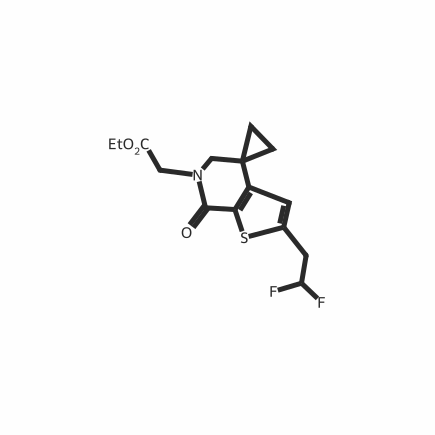 CCOC(=O)CN1CC2(CC2)c2cc(CC(F)F)sc2C1=O